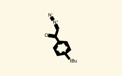 CC(C)(C)c1ccc(C(=O)C=[N+]=[N-])cc1